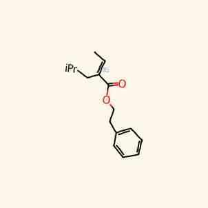 C/C=C(\CC(C)C)C(=O)OCCc1ccccc1